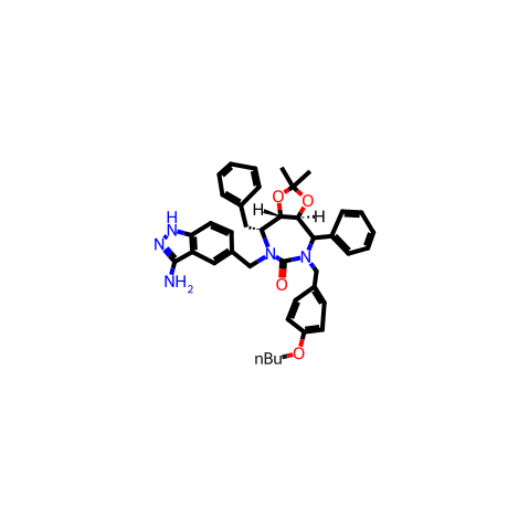 CCCCOc1ccc(CN2C(=O)N(Cc3ccc4[nH]nc(N)c4c3)[C@H](Cc3ccccc3)[C@@H]3OC(C)(C)O[C@H]3C2c2ccccc2)cc1